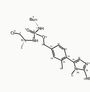 CC[C@@H](C)NP(=O)(N[C@H](C)CCl)OCc1ccc(-c2cnc([N+](=O)[O-])n2C)c(C)c1